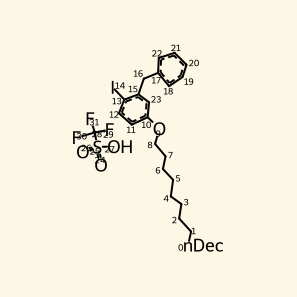 CCCCCCCCCCCCCCCCCCOc1ccc(I)c(Cc2ccccc2)c1.O=S(=O)(O)C(F)(F)F